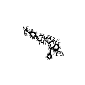 CN1C(=O)C(NC(=S)N2CCN(c3ccc(C(F)(F)F)cn3)CC2)N=C(c2ccccc2)c2cc(Cl)ccc21